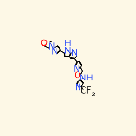 O=C(Cc1ccc(-c2cnc3[nH]c(-c4ccc(N5CCOCC5)nc4)cc3c2)cn1)Nc1ccnc(C(F)(F)F)c1